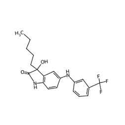 CCCCCC1(O)C(=O)Nc2ccc(Nc3cccc(C(F)(F)F)c3)cc21